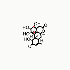 CC1=CC(=O)[C@@H](O)[C@]2(C)[C@H]3[C@@]4(O)OC[C@@]35[C@@H](C[C@@H]12)OC(=O)C[C@H]5[C@](C)(O)[C@H]4O